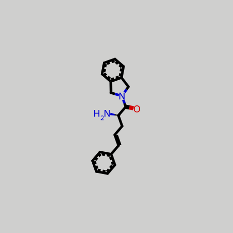 N[C@H](CC=Cc1ccccc1)C(=O)N1Cc2ccccc2C1